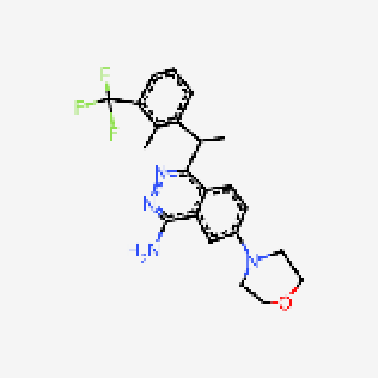 Cc1c(C(C)c2nnc(N)c3cc(N4CCOCC4)ccc23)cccc1C(F)(F)F